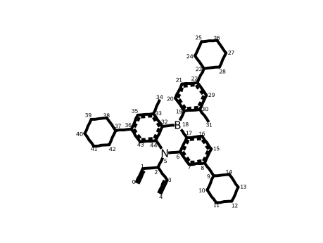 C=CC(C=C)N1c2cc(C3CCCCC3)ccc2B(c2ccc(C3CCCCC3)cc2C)c2c(C)cc(C3CCCCC3)cc21